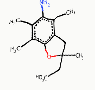 Cc1c(C)c2c(c(C)c1N)CC(C)(CC(=O)O)O2